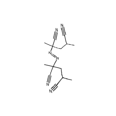 CC(C#N)CC(C)(C#N)N=NC(C)(C#N)CC(C)C#N